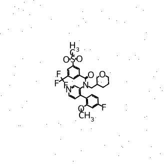 COc1cc(F)ccc1-c1ccncc1N(CC1CCCOC1)C(=O)c1cc(C(F)(F)F)cc(S(C)(=O)=O)c1